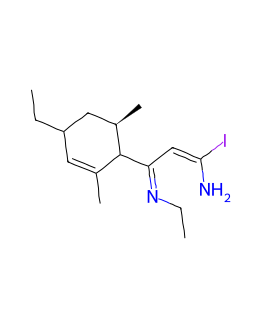 CC/N=C(\C=C(/N)I)C1C(C)=CC(CC)C[C@H]1C